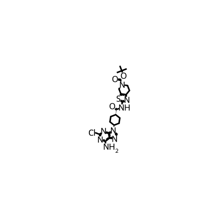 CC(C)(C)OC(=O)N1CCc2nc(NC(=O)[C@H]3CC[C@@H](n4cnc5c(N)nc(Cl)nc54)CC3)sc2C1